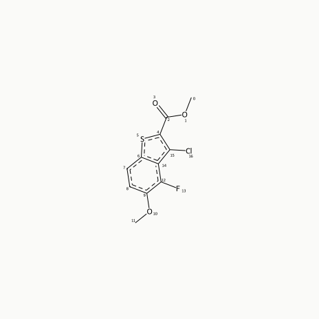 COC(=O)c1sc2ccc(OC)c(F)c2c1Cl